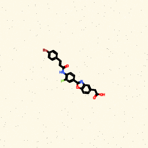 O=C(O)Cc1ccc2oc(-c3ccc(NC(=O)C=Cc4ccc(Br)cc4)c(F)c3)nc2c1